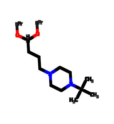 CCCO[SiH](CCCN1CCN([Si](C)(C)C)CC1)OCCC